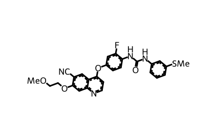 COCCOc1cc2nccc(Oc3ccc(NC(=O)Nc4cccc(SC)c4)c(F)c3)c2cc1C#N